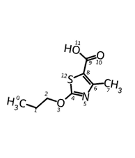 CCCOc1nc(C)c(C(=O)O)s1